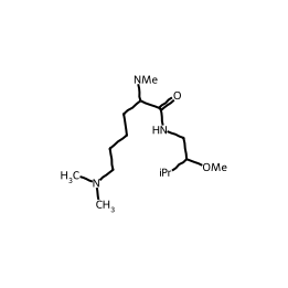 CNC(CCCCN(C)C)C(=O)NCC(OC)C(C)C